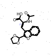 CC(=O)N/C(=C\c1c(C2OCCO2)oc2ccccc12)C(=O)O